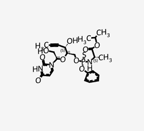 CC#C[C@H](O)[C@@H](COP(=S)(N[C@@H](C)C(=O)OC(C)C)Oc1ccccc1)O[C@H](CO)n1ccc(=O)[nH]c1=O